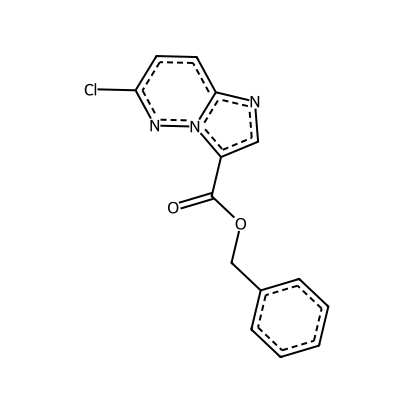 O=C(OCc1ccccc1)c1cnc2ccc(Cl)nn12